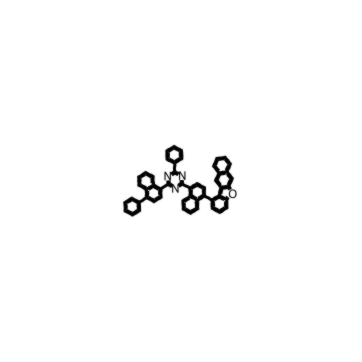 c1ccc(-c2nc(-c3ccc(-c4ccccc4)c4ccccc34)nc(-c3ccc(-c4cccc5oc6cc7ccccc7cc6c45)c4ccccc34)n2)cc1